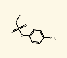 Nc1ccc(OS(=O)(=O)OF)cc1